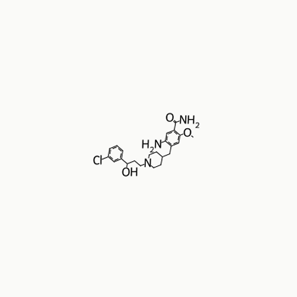 COc1cc(CC2CCN(CCC(O)c3cccc(Cl)c3)CC2)c(N)cc1C(N)=O